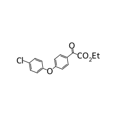 CCOC(=O)C(=O)c1ccc(Oc2ccc(Cl)cc2)cc1